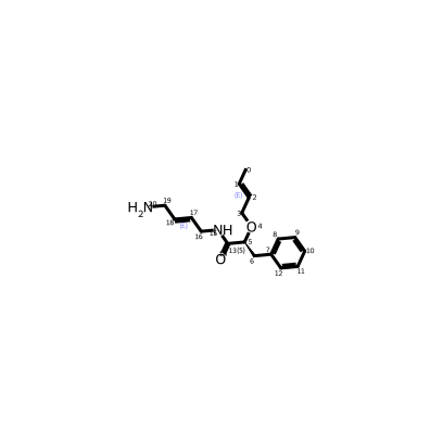 C/C=C/CO[C@@H](Cc1ccccc1)C(=O)NC/C=C/CN